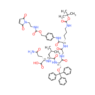 CC(C)C[C@H](N[C@@H](CCC(N)=O)C(=O)O)C(=O)N[C@@H](COC(c1ccccc1)(c1ccccc1)c1ccccc1)C(=O)NCC(=O)N[C@@H](CCCCNC(=O)OC(C)(C)C)C(=O)Nc1ccc(COC(=O)NCCN2C(=O)C=CC2=O)cc1